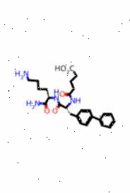 NCCCC[C@@H](NC(=O)[C@@H](Cc1ccc(-c2ccccc2)cc1)NC(=O)CCCC(=O)O)C(N)=O